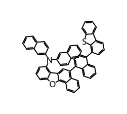 c1ccc2cc(N(c3ccc4ccccc4c3)c3cccc4oc5c6ccccc6c(-c6ccc(-c7cccc8c7sc7ccccc78)c7ccccc67)cc5c34)ccc2c1